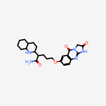 NC(=O)C(CCCOc1ccc2nc3n(c(=O)c2c1)CC(=O)N3)C1CCC2CCCCC2N1